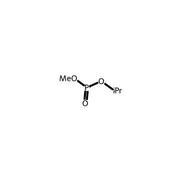 CO[P](=O)OC(C)C